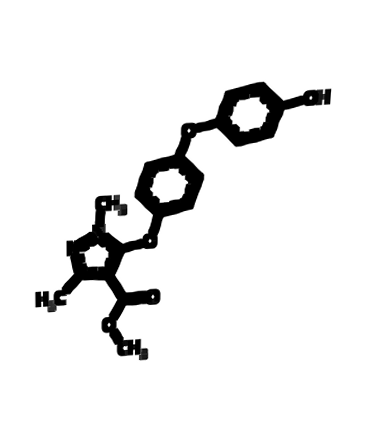 COC(=O)c1c(C)nn(C)c1Oc1ccc(Oc2ccc(O)cc2)cc1